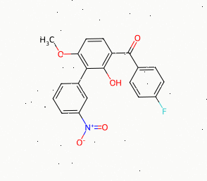 COc1ccc(C(=O)c2ccc(F)cc2)c(O)c1-c1cccc([N+](=O)[O-])c1